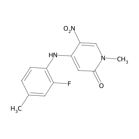 Cc1ccc(Nc2cc(=O)n(C)cc2[N+](=O)[O-])c(F)c1